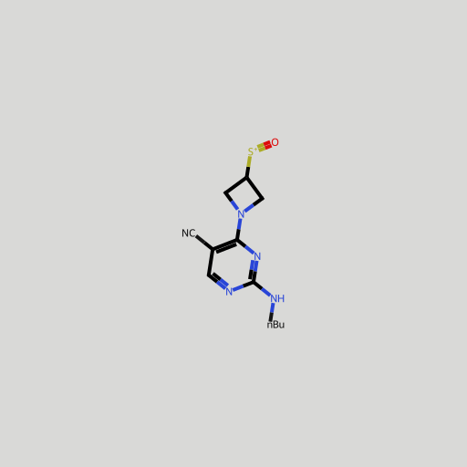 CCCCNc1ncc(C#N)c(N2CC([S+]=O)C2)n1